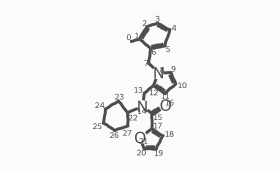 Cc1ccccc1Cn1cccc1CN(C(=O)c1ccco1)C1CCCCC1